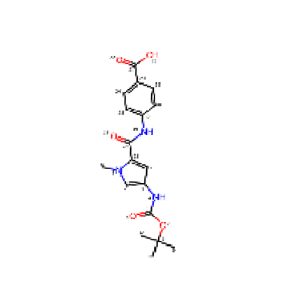 Cn1cc(NC(=O)OC(C)(C)C)cc1C(=O)Nc1ccc(C(=O)O)cc1